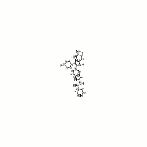 N=C(N)/C=C\c1nc(-c2ccc(F)cc2)c(-c2ccc3nc(NC(=O)c4ccncc4)cn3n2)[nH]1